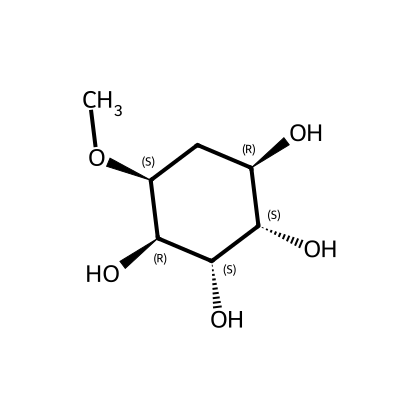 CO[C@H]1C[C@@H](O)[C@H](O)[C@H](O)[C@H]1O